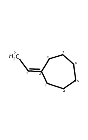 CC=C1CC[CH]CCC1